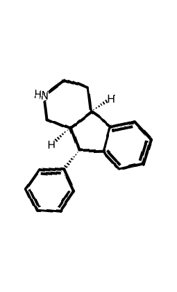 c1ccc([C@H]2c3ccccc3[C@@H]3CCNC[C@H]23)cc1